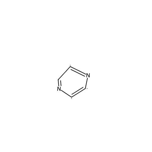 [c]1[c]nc[c]n1